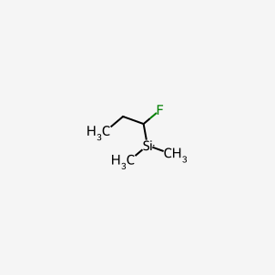 CCC(F)[Si](C)C